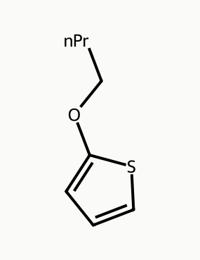 [CH2]CCCOc1cccs1